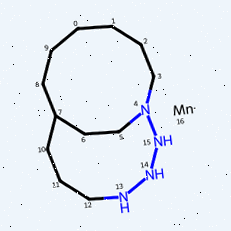 C1CCCN2CCC(CC1)CCCNNN2.[Mn]